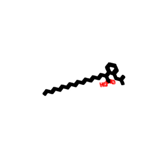 CCCCCCCCCCCCCCCCC(C(=O)O)c1ccccc1CC(C)C